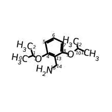 CC(C)Oc1cccc(OC(C)C)c1CN